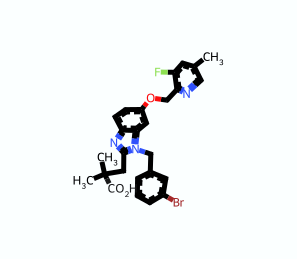 Cc1cnc(COc2ccc3nc(CC(C)(C)C(=O)O)n(Cc4cccc(Br)c4)c3c2)c(F)c1